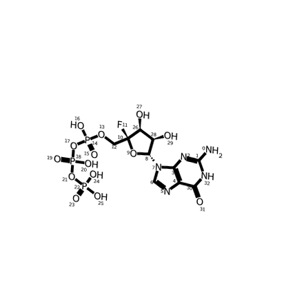 Nc1nc2c(ncn2[C@@H]2O[C@](F)(COP(=O)(O)OP(=O)(O)OP(=O)(O)O)[C@@H](O)[C@H]2O)c(=O)[nH]1